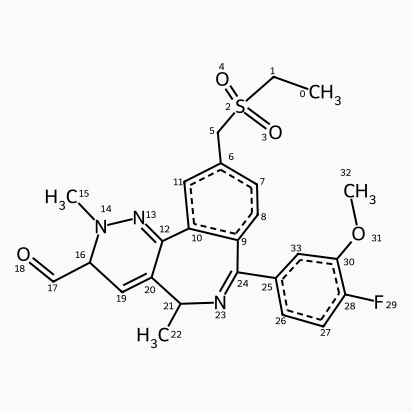 CCS(=O)(=O)Cc1ccc2c(c1)C1=NN(C)C(C=O)C=C1C(C)N=C2c1ccc(F)c(OC)c1